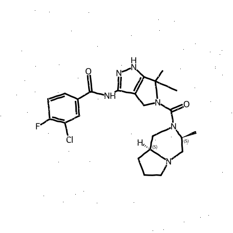 C[C@H]1CN2CCC[C@H]2CN1C(=O)N1Cc2c(NC(=O)c3ccc(F)c(Cl)c3)n[nH]c2C1(C)C